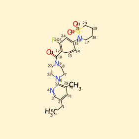 CCc1cnc(N2CCN(C(=O)c3ccc(N4CCCCS4(=O)=O)cc3F)CC2)c(C)c1